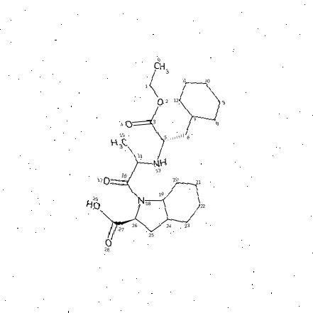 CCOC(=O)[C@H](CC1CCCCC1)NC(C)C(=O)N1C2CCCCC2C[C@H]1C(=O)O